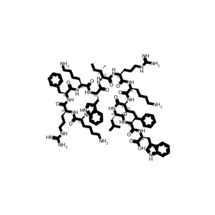 CC[C@H](C)[C@H](NC(=O)[C@H](Cc1c[nH]c2ccccc12)NC(=O)[C@H](CCCCN)NC(=O)[C@H](Cc1ccccc1)NC(=O)[C@H](CCCNC(=N)N)NC(=O)[C@@H](N)CCCCN)C(=O)N[C@@H](CCCNC(=N)N)C(=O)N[C@@H](CCCCN)C(=O)N[C@H](C(=O)N[C@@H](CC(C)C)C(=O)N[C@@H](Cc1ccccc1)C(=O)N[C@@H](Cc1c[nH]c2ccccc12)C(=O)O)[C@@H](C)CC